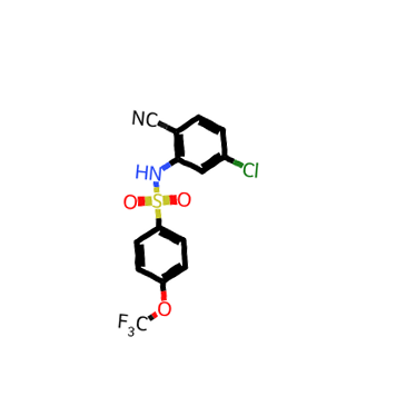 N#Cc1ccc(Cl)cc1NS(=O)(=O)c1ccc(OC(F)(F)F)cc1